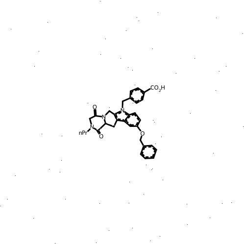 CCCN1CC(=O)N2Cc3c(c4cc(OCc5ccccc5)ccc4n3Cc3ccc(C(=O)O)cc3)CC2C1=O